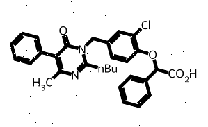 CCCCc1nc(C)c(-c2ccccc2)c(=O)n1Cc1ccc(OC(C(=O)O)c2ccccc2)c(Cl)c1